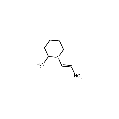 NC1CCCCN1C=C[N+](=O)[O-]